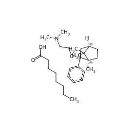 CCCCCCCC(=O)O.CN(C)CCO[C@]1(c2ccccc2)C[C@H]2CC[C@]1(C)C2(C)C